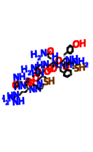 N=C(N)NCCC[C@H](NC(=O)[C@@H]1CCCN1C(=O)[C@H](CS)NC(=O)[C@H](CC(N)=O)NC(=O)[C@H](CCC(N)=O)NC(=O)[C@H](Cc1ccccc1)NC(=O)[C@H](Cc1ccc(O)cc1)NC(=O)[C@@H](N)CS)C(=O)NCC(N)=O